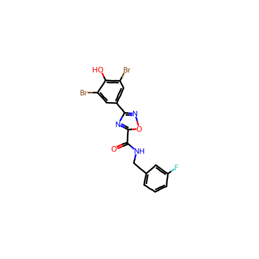 O=C(NCc1cccc(F)c1)c1nc(-c2cc(Br)c(O)c(Br)c2)no1